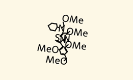 COCCN(c1c(OC)nn2c(-c3c(OC)cc(COC)cc3OC)csc12)C1CCCCC1